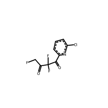 O=C(CF)C(F)(F)C(=O)c1cccc(Cl)n1